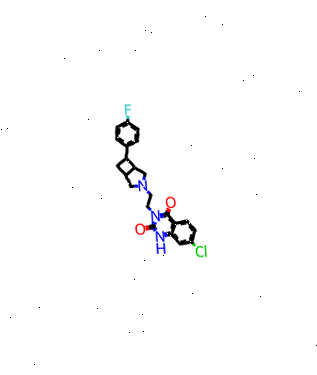 O=c1[nH]c2cc(Cl)ccc2c(=O)n1CCN1CC2CC(c3ccc(F)cc3)C2C1